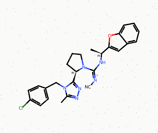 Cc1nnc([C@H]2CCCN2/C(=N\C#N)N[C@@H](C)c2cc3ccccc3o2)n1Cc1ccc(Cl)cc1